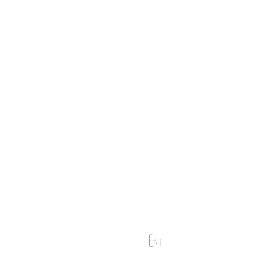 BrCCC#Cc1ccccc1